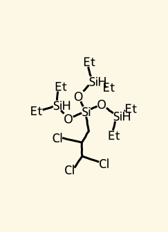 CC[SiH](CC)O[Si](CC(Cl)C(Cl)Cl)(O[SiH](CC)CC)O[SiH](CC)CC